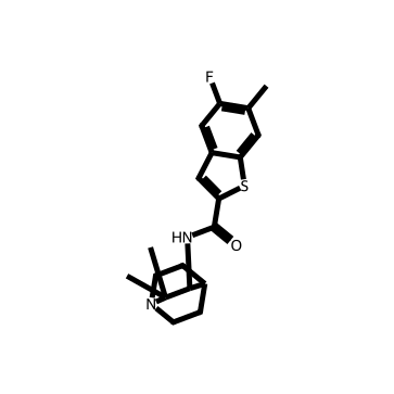 Cc1cc2sc(C(=O)NC3C4CCN(CC4)C3(C)C)cc2cc1F